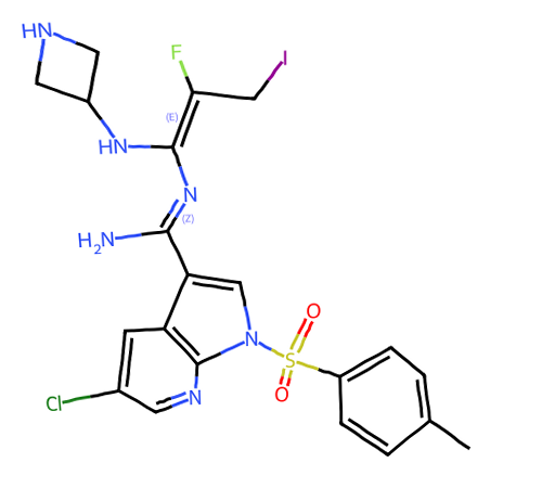 Cc1ccc(S(=O)(=O)n2cc(/C(N)=N/C(NC3CNC3)=C(/F)CI)c3cc(Cl)cnc32)cc1